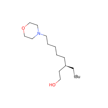 CC(C)(C)C[C@@H](CCO)CCCCCN1CCOCC1